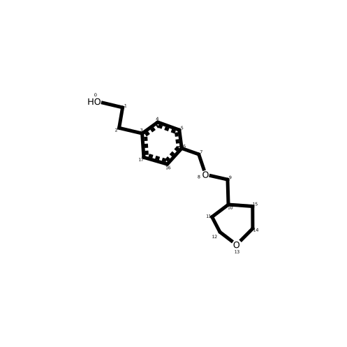 OCCc1ccc(COCC2CCOCC2)cc1